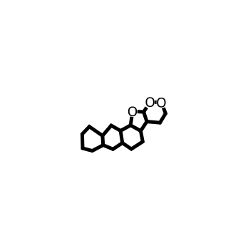 C1CCC2CC3C(CCC4C5CCOOC5OC34)CC2C1